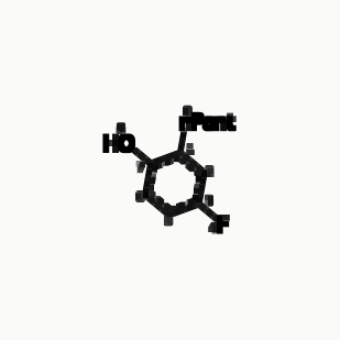 CCCCCc1cc(F)ccc1O